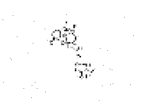 COc1ccc2c3c1O[C@H]1[C@@H](OC(=O)/C=C/C(=O)NC(C(=O)O)C(C)C)CCC4[C@@H](C2)N(C)CC[C@@]341